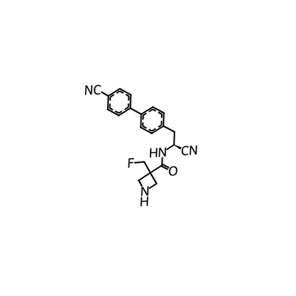 N#Cc1ccc(-c2ccc(C[C@@H](C#N)NC(=O)C3(CF)CNC3)cc2)cc1